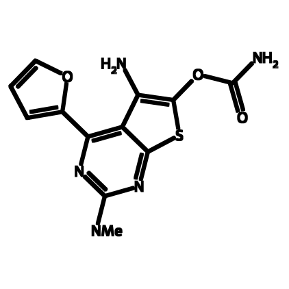 CNc1nc(-c2ccco2)c2c(N)c(OC(N)=O)sc2n1